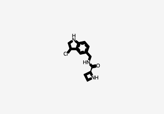 O=C(NCc1ccc2c(c1)C(Cl)CN2)[C@@H]1CCN1